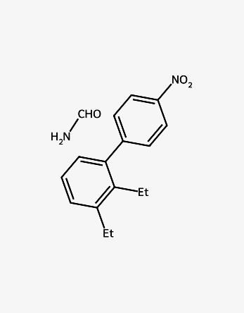 CCc1cccc(-c2ccc([N+](=O)[O-])cc2)c1CC.NC=O